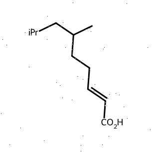 CC(C)CC(C)CCC=CC(=O)O